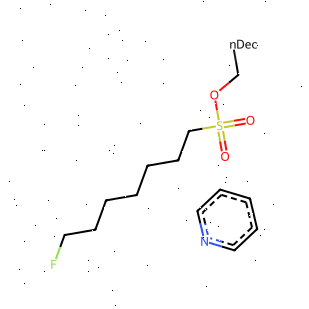 CCCCCCCCCCCOS(=O)(=O)CCCCCCCF.c1ccncc1